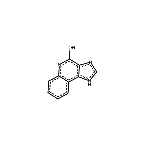 Oc1nc2ccccc2c2[nH]cnc12